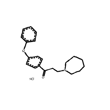 Cl.O=C(CCN1CCCCCC1)c1ccc(Oc2ccccc2)cc1